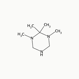 CN1CNCN(C)C1(C)C